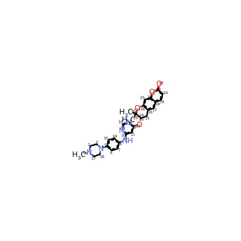 CN1CCN(c2ccc(Nc3cc(O[C@H]4Cc5cc6ccc(=O)oc6cc5OC4(C)C)ncn3)cc2)CC1